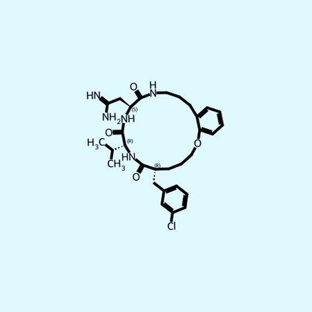 CC(C)[C@H]1NC(=O)[C@@H](Cc2cccc(Cl)c2)CCCOc2ccccc2CCCNC(=O)[C@H](CC(=N)N)NC1=O